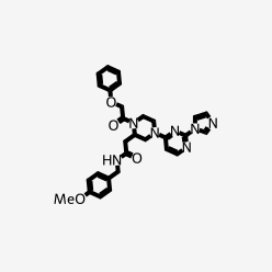 COc1ccc(CNC(=O)CC2CN(c3ccnc(-n4ccnc4)n3)CCN2C(=O)COc2ccccc2)cc1